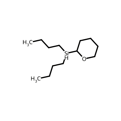 CCCC[SiH](CCCC)C1CCCCO1